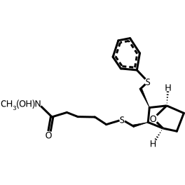 CN(O)C(=O)CCCCSC[C@H]1[C@@H](CSc2ccccc2)[C@H]2CC[C@@H]1O2